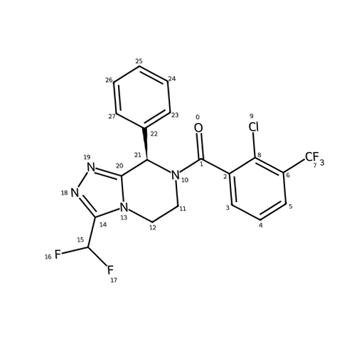 O=C(c1cccc(C(F)(F)F)c1Cl)N1CCn2c(C(F)F)nnc2[C@H]1c1ccccc1